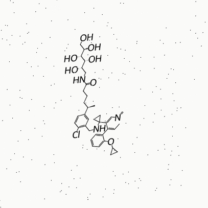 C=N/C=C(\C(=C/C)c1ccccc1OC1CC1)C1(NCc2cc([C@H](C)CCCC(=O)NC[C@H](O)[C@@H](O)[C@H](O)[C@H](O)CO)ccc2Cl)CC1